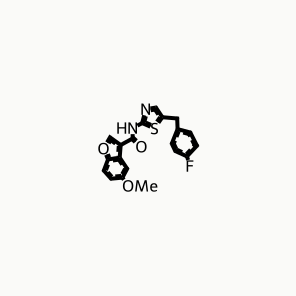 COc1ccc2occ(C(=O)Nc3ncc(Cc4ccc(F)cc4)s3)c2c1